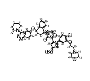 C[C@H]1CCCCN1c1nnc2ccc(O[C@@H]3CC[C@H](NC(=O)N(OC=O)c4cc(C(C)(C)C)nn4-c4ccc(Cl)c(OCCN5CCOCC5)c4)c4ccccc43)cn12